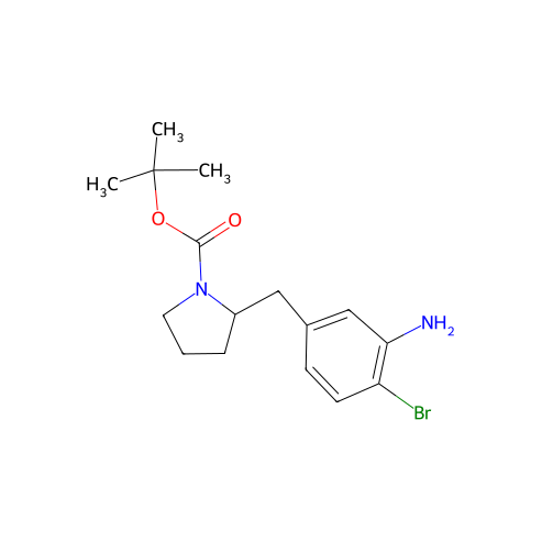 CC(C)(C)OC(=O)N1CCCC1Cc1ccc(Br)c(N)c1